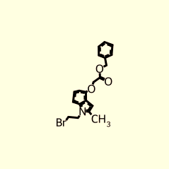 Cc1cc2c(OCC(=O)OCc3ccccc3)cccc2n1CCBr